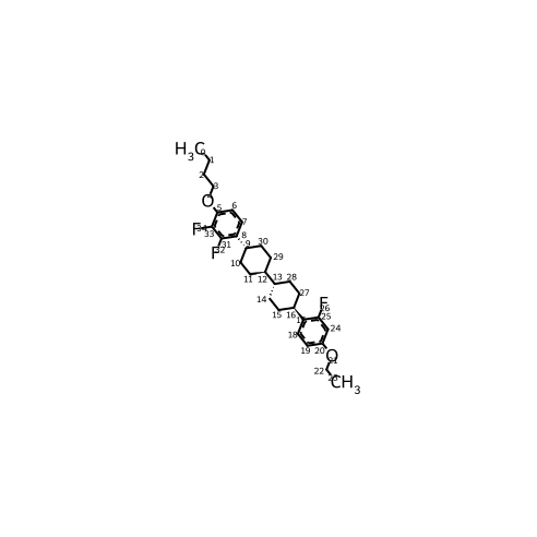 CCCCOc1ccc([C@H]2CC[C@H]([C@H]3CC[C@H](c4ccc(OCC)cc4F)CC3)CC2)c(F)c1F